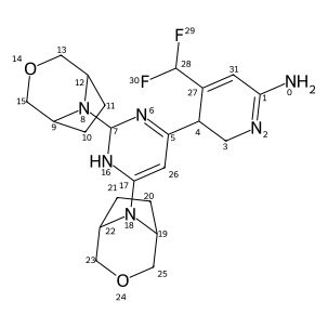 NC1=NCC(C2=NC(N3C4CCC3COC4)NC(N3C4CCC3COC4)=C2)C(C(F)F)=C1